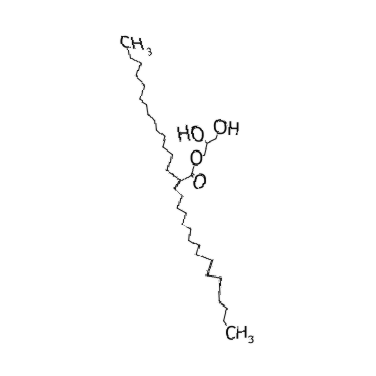 CCCCCCCCCCCCCCCCC(CCCCCCCCCCCCCC)C(=O)OCC(O)CO